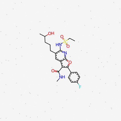 CCS(=O)(=O)Nc1nc2oc(-c3ccc(F)cc3)c(C(=O)NC)c2cc1CCCC(C)O